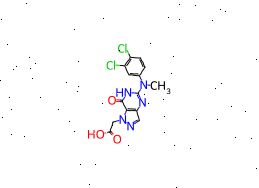 CN(c1ccc(Cl)c(Cl)c1)c1nc2cnn(CC(=O)O)c2c(=O)[nH]1